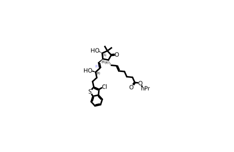 CCCOC(=O)CCCC=CC[C@H]1C(=O)C(C)(C)[C@@H](O)[C@@H]1/C=C/[C@H](O)CCc1sc2ccccc2c1Cl